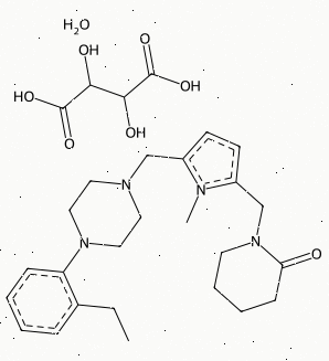 CCc1ccccc1N1CCN(Cc2ccc(CN3CCCCC3=O)n2C)CC1.O.O=C(O)C(O)C(O)C(=O)O